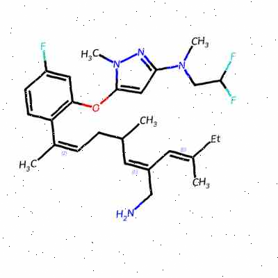 CC/C(C)=C/C(=C\C(C)C/C=C(/C)c1ccc(F)cc1Oc1cc(N(C)CC(F)F)nn1C)CN